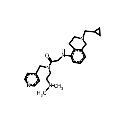 CN(C)CCN(Cc1ccncc1)C(=O)CNc1cccc2c1CCN(CC1CC1)C2